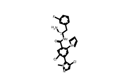 Cn1ncc(Cl)c1-c1cc([SH]2C=CC=C2)c(C(=O)N[C@H](CN)Cc2cccc(F)c2)cc1Cl